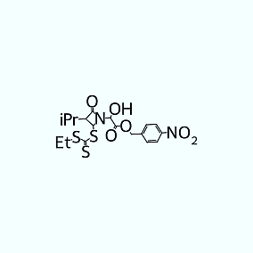 CCSC(=S)SC1C(C(C)C)C(=O)N1C(O)C(=O)OCc1ccc([N+](=O)[O-])cc1